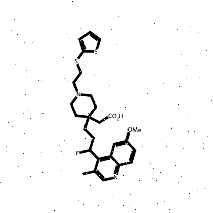 COc1ccc2ncc(C)c(C(F)CCC3(CC(=O)O)CCN(CCSc4cccs4)CC3)c2c1